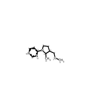 COCC1CCN(c2ccncn2)C1C